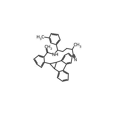 C=C(NC(CCC(C)C#N)c1cccc(C)c1)c1ccccc1C1C2c3ccccc3-c3ccccc3C12